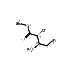 CC(C)C[C@@H](C(=O)O)[C@@H](Cl)C(=O)OC(C)(C)C